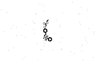 CCOC(=O)COc1ccc(CCN(C)S(=O)(=O)c2ccccc2)cc1